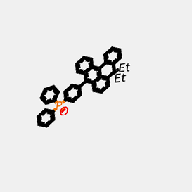 CCC1(CC)c2ccccc2-c2c3ccccc3c(-c3ccc(P(=O)(c4ccccc4)c4ccccc4)cc3)c3cccc1c23